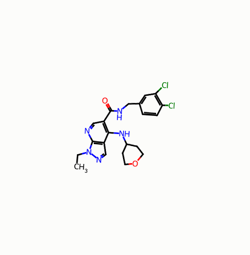 CCn1ncc2c(NC3CCOCC3)c(C(=O)NCc3ccc(Cl)c(Cl)c3)cnc21